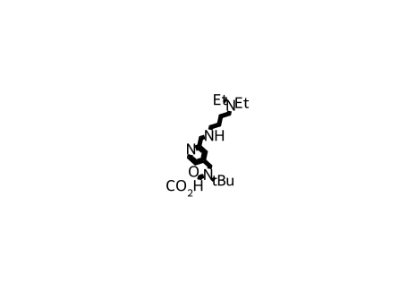 CCN(CC)CCCCNCc1cc(CN(C(=O)C(=O)O)C(C)(C)C)ccn1